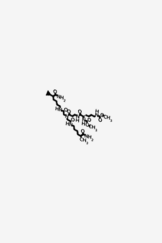 COC(=O)NCCCC[C@H](NC(=O)OC)C(=O)NCCC(=O)N(CC(=O)NCCCCC(C)C(N)=O)CC(=O)NCCCCC(C(N)=O)C1CC1